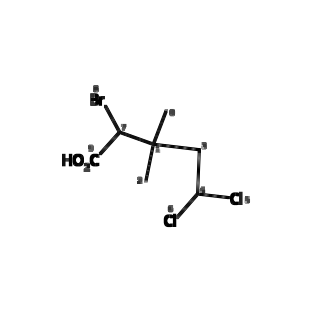 CC(C)(CC(Cl)Cl)C(Br)C(=O)O